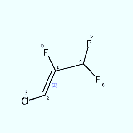 F/C(=C\Cl)C(F)F